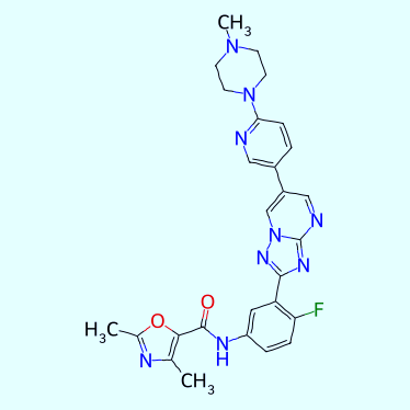 Cc1nc(C)c(C(=O)Nc2ccc(F)c(-c3nc4ncc(-c5ccc(N6CCN(C)CC6)nc5)cn4n3)c2)o1